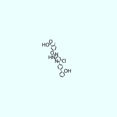 Cc1ccc(Oc2nc3cc(Cl)c(-c4ccc(-c5ccccc5O)cc4)nc3[nH]2)cc1C(=O)O